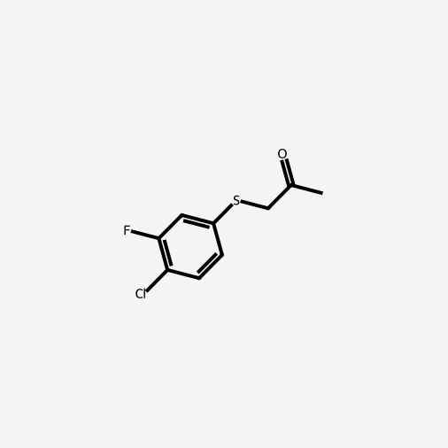 CC(=O)CSc1ccc(Cl)c(F)c1